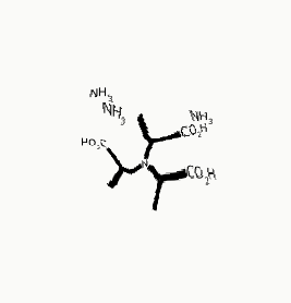 CC(C(=O)O)N(C(C)C(=O)O)C(C)C(=O)O.N.N.N